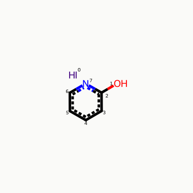 I.Oc1ccccn1